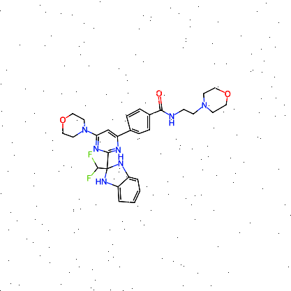 O=C(NCCN1CCOCC1)c1ccc(-c2cc(N3CCOCC3)nc(C3(C(F)F)Nc4ccccc4N3)n2)cc1